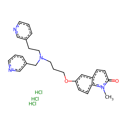 Cl.Cl.Cl.Cn1c(=O)ccc2cc(OCCCN(CCc3cccnc3)Cc3cccnc3)ccc21